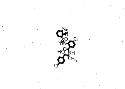 C[C@@H](NC(=O)c1ccc(Cl)cc1NS(=O)(=O)c1cccc2nsnc12)[C@@H](O)c1ccc(Cl)cc1